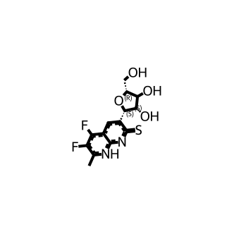 Cc1[nH]c2nc(=S)c([C@@H]3O[C@H](CO)C(O)[C@@H]3O)cc-2c(F)c1F